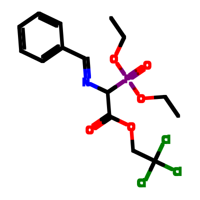 CCOP(=O)(OCC)C(N=Cc1ccccc1)C(=O)OCC(Cl)(Cl)Cl